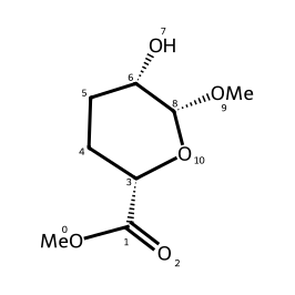 COC(=O)[C@@H]1CC[C@H](O)[C@H](OC)O1